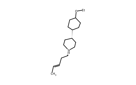 CC=CCC[Si@H]1CC[C@H](C2CCC(OCC)CC2)CC1